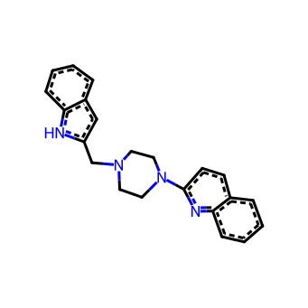 c1ccc2nc(N3CCN(Cc4cc5ccccc5[nH]4)CC3)ccc2c1